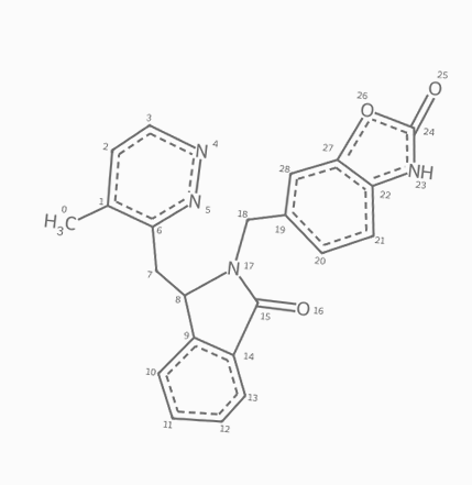 Cc1ccnnc1CC1c2ccccc2C(=O)N1Cc1ccc2[nH]c(=O)oc2c1